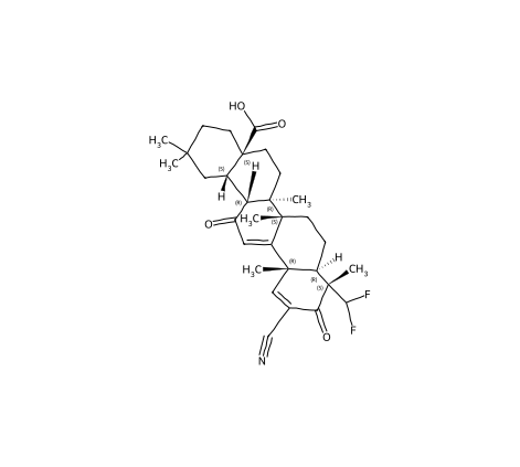 CC1(C)CC[C@]2(C(=O)O)CC[C@]3(C)[C@H](C(=O)C=C4[C@@]5(C)C=C(C#N)C(=O)[C@@](C)(C(F)F)[C@@H]5CC[C@]43C)[C@@H]2C1